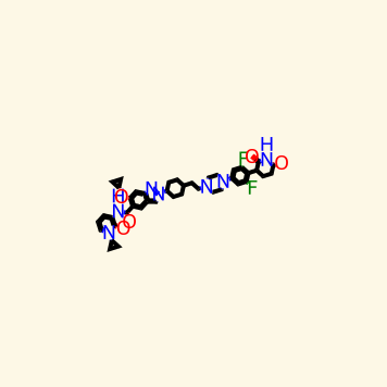 O=C1CCC(c2c(F)cc(N3CCN(CCC4CCC(n5cc6cc(C(=O)Nc7cccn(C8CC8)c7=O)c(OC7CC7)cc6n5)CC4)CC3)cc2F)C(=O)N1